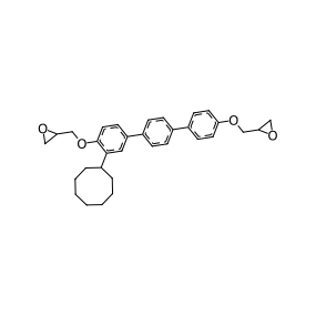 c1cc(-c2ccc(-c3ccc(OCC4CO4)c(C4CCCCCCC4)c3)cc2)ccc1OCC1CO1